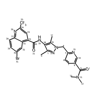 Cc1nn(Cc2ccc(C(=O)N(C)C)cn2)c(C)c1NC(=O)c1cc(C(F)(F)F)nc2ccc(Br)cc12